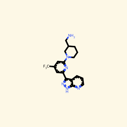 NCC1CCCN(c2cc(C(F)(F)F)cc(-c3n[nH]c4ncccc34)n2)C1